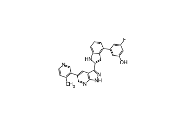 Cc1ccncc1-c1cnc2[nH]nc(-c3cc4c(-c5cc(O)cc(F)c5)cccc4[nH]3)c2c1